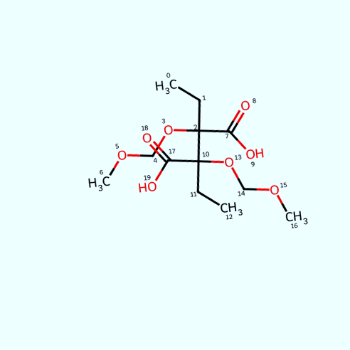 CCC(OCOC)(C(=O)O)C(CC)(OCOC)C(=O)O